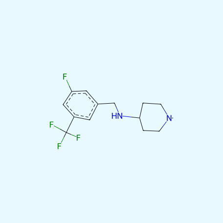 Fc1cc(CNC2CC[N]CC2)cc(C(F)(F)F)c1